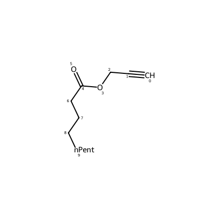 C#CCOC(=O)CCCCCCCC